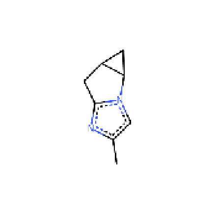 Cc1cn2c(n1)CC1CC12